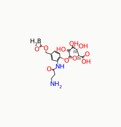 BC(=O)OCc1ccc(O[C@@H]2O[C@H](C(=O)O)[C@@H](O)[C@H](O)[C@H]2O)c(NC(=O)CCN)c1